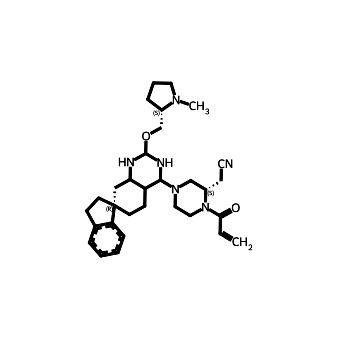 C=CC(=O)N1CCN(C2NC(OC[C@@H]3CCCN3C)NC3C[C@]4(CCc5ccccc54)CCC32)C[C@@H]1CC#N